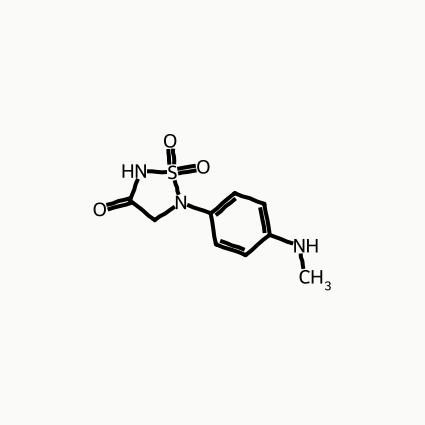 CNc1ccc(N2CC(=O)NS2(=O)=O)cc1